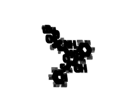 CC(C)(C)OC(=O)C(C)(C)CC(N)C(=O)N[C@@H](CC1CCCCC1)[C@@H](O)CCSc1ccccn1